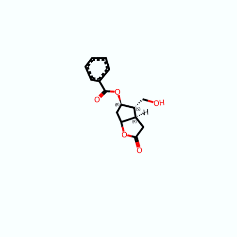 O=C1C[C@H]2C(C[C@@H](OC(=O)c3ccccc3)[C@@H]2CO)O1